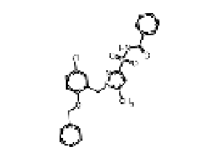 Cc1cc(S(=O)(=O)NC(=O)c2ccccc2)nn1Cc1cc(Cl)ccc1OCc1ccccc1